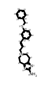 Nc1nc2c(s1)CCN(CC=Cc1cccc(SCc3ccccc3)c1)CC2